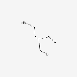 CCCCCCC(C[O])CF